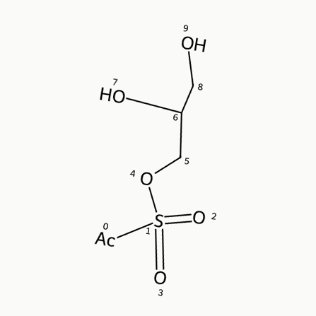 CC(=O)S(=O)(=O)OCC(O)CO